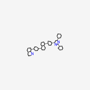 c1ccc(-c2cc(-c3ccc(-c4cccc5c(-c6ccc(-c7cccc8cccnc78)cc6)cccc45)cc3)nc(-c3ccccc3)n2)cc1